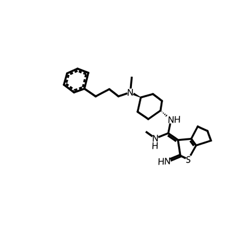 CN/C(N[C@H]1CC[C@H](N(C)CCCc2ccccc2)CC1)=C1\C(=N)SC2=C1CCC2